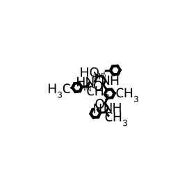 Cc1ccc([C@@H](C)NC[C@@H](O)[C@H](Cc2ccccc2)NC(=O)c2cc(C)cc(C(=O)NC(C)c3ccccn3)c2)cc1